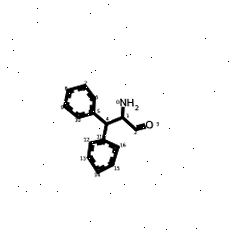 NC(C=O)C(c1ccccc1)c1ccccc1